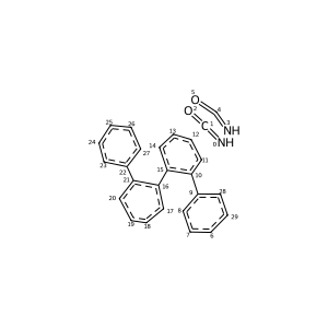 N=C=O.N=C=O.c1ccc(-c2ccccc2-c2ccccc2-c2ccccc2)cc1